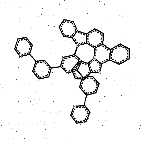 c1ccc(-c2cccc(-c3nc(-c4cccc(-c5ccccn5)c4)nc(-n4c5ccccc5c5ccc6c7ccccc7c7nc8ccccc8n7c6c54)n3)c2)nc1